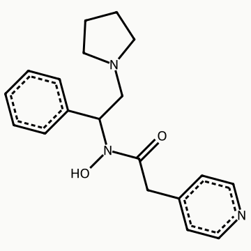 O=C(Cc1ccncc1)N(O)C(CN1CCCC1)c1ccccc1